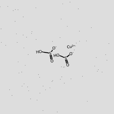 O=S([O-])O.O=S([O-])O.[Cu+2]